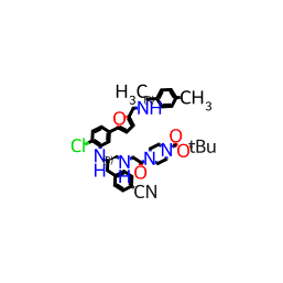 Cc1ccc([C@@H](C)NCc2ccc(-c3ccc(Cl)c(N[C@@H](CNCC(=O)N4CCN(C(=O)OC(C)(C)C)CC4)Cc4ccc(C#N)cc4)c3)o2)cc1